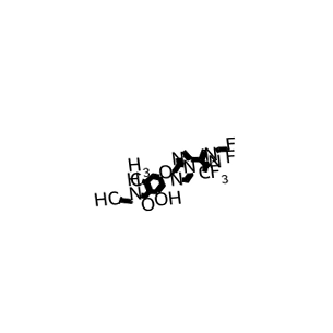 C#CCNC(=O)c1c(C)cc(Oc2nccn3c(-c4cn(CC(F)F)nc4C(F)(F)F)cnc23)cc1O